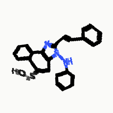 O=S(=O)(O)c1cc2c(nc(C=Cc3ccccc3)n2Nc2ccccc2)c2ccccc12